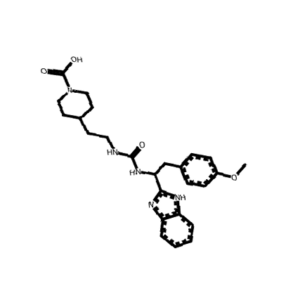 COc1ccc(CC(NC(=O)NCCC2CCN(C(=O)O)CC2)c2nc3ccccc3[nH]2)cc1